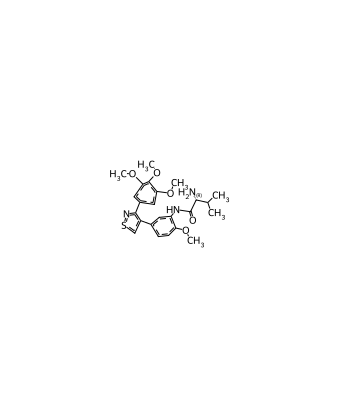 COc1ccc(-c2csnc2-c2cc(OC)c(OC)c(OC)c2)cc1NC(=O)[C@H](N)C(C)C